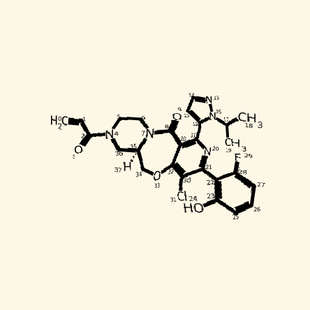 C=CC(=O)N1CCN2C(=O)c3c(-c4ccnn4C(C)C)nc(-c4c(O)cccc4F)c(Cl)c3OC[C@H]2C1